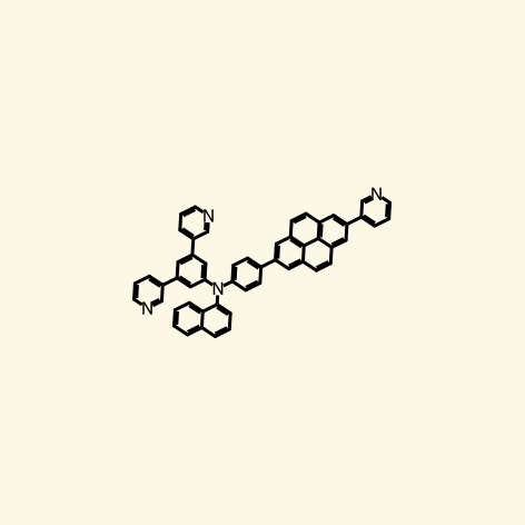 c1cncc(-c2cc(-c3cccnc3)cc(N(c3ccc(-c4cc5ccc6cc(-c7cccnc7)cc7ccc(c4)c5c67)cc3)c3cccc4ccccc34)c2)c1